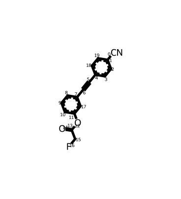 N#Cc1ccc(C#Cc2cccc(OC(=O)CF)c2)cc1